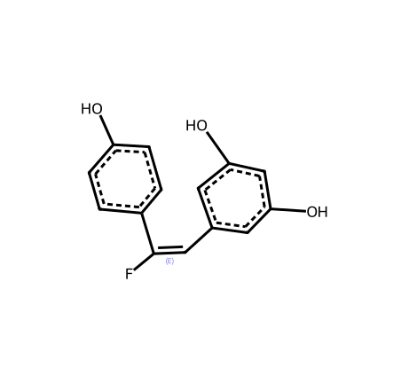 Oc1ccc(/C(F)=C\c2cc(O)cc(O)c2)cc1